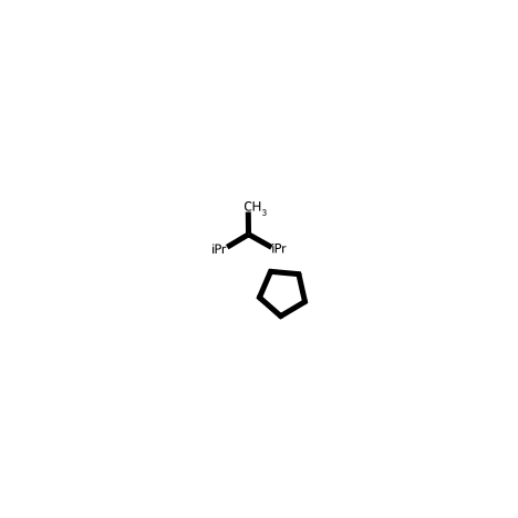 C1CCCC1.C[C](C(C)C)C(C)C